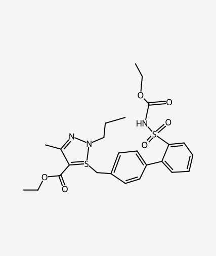 CCCN1N=C(C)C(C(=O)OCC)=S1Cc1ccc(-c2ccccc2S(=O)(=O)NC(=O)OCC)cc1